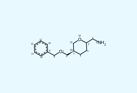 NCC1CC[C@@H](COCc2ccccc2)CO1